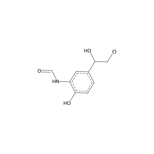 O=CNc1cc(C(O)CCl)ccc1O